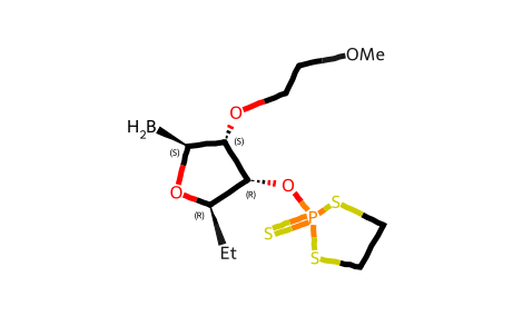 B[C@@H]1O[C@H](CC)[C@@H](OP2(=S)SCCS2)[C@H]1OCCOC